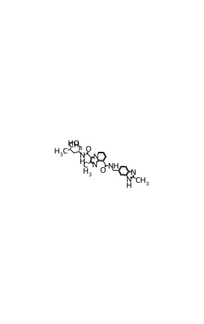 Cc1nc2ccc(CNC(=O)c3cccn4c(C(=O)N[C@H](CO)CC(C)C)c(C)nc34)cc2[nH]1